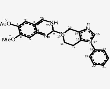 COc1cc2c(cc1OC)=NC(N1CCc3c(ncn3-c3ccccc3)C1)NC=2